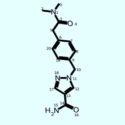 CN(C)C(=O)Cc1ccc(Cn2cc(C(N)=O)cn2)cc1